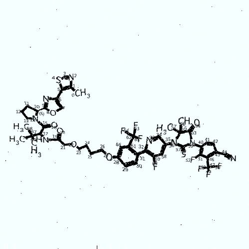 Cc1ncsc1-c1coc([C@@H]2CCCN2C(=O)C(NC(=O)COCCCCOc2ccc(-c3ncc(N4C(=S)N(c5ccc(C#N)c(C(F)(F)F)c5F)C(=O)C4(C)C)cc3F)c(C(F)(F)F)c2)C(C)(C)C)n1